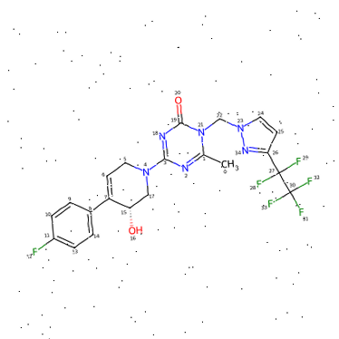 Cc1nc(N2CC=C(c3ccc(F)cc3)[C@@H](O)C2)nc(=O)n1Cn1ccc(C(F)(F)C(F)(F)F)n1